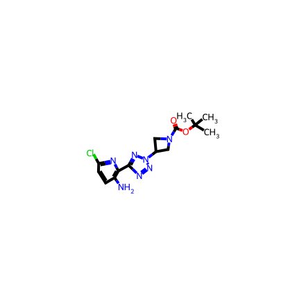 CC(C)(C)OC(=O)N1CC(n2nnc(-c3nc(Cl)ccc3N)n2)C1